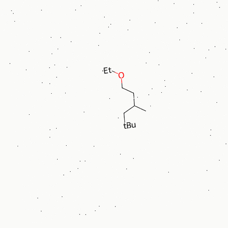 C[CH]OCCC(C)CC(C)(C)C